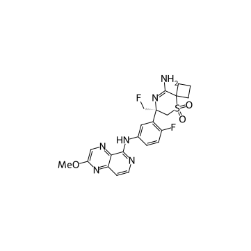 COc1cnc2c(Nc3ccc(F)c([C@]4(CF)CS(=O)(=O)C5(CCC5)C(N)=N4)c3)nccc2n1